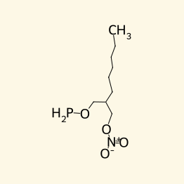 CCCCCCC(COP)CO[N+](=O)[O-]